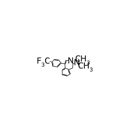 CN(C)C1=NC=C(c2ccc(C(F)(F)F)cc2)c2ccccc2C1